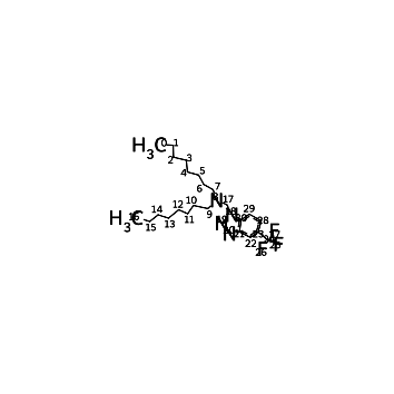 CCCCCCCCN(CCCCCCCC)Cn1nnc2cc(C(F)(F)F)ccc21